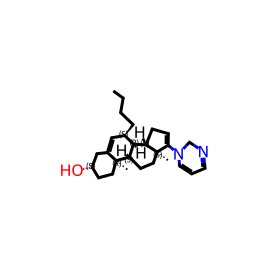 CCCC[C@@H]1C=C2C[C@@H](O)CC[C@]2(C)[C@H]2CC[C@]3(C)C(N4C=CC=NC4)=CC[C@H]3[C@H]12